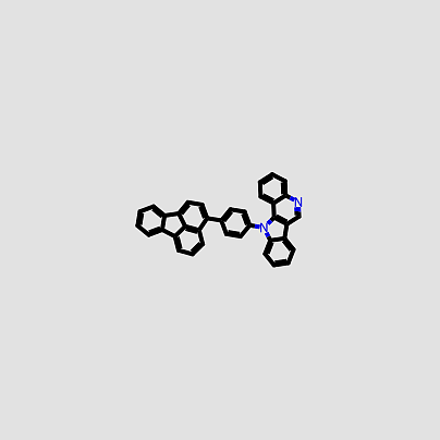 c1ccc2c(c1)-c1cccc3c(-c4ccc(-n5c6ccccc6c6cnc7ccccc7c65)cc4)ccc-2c13